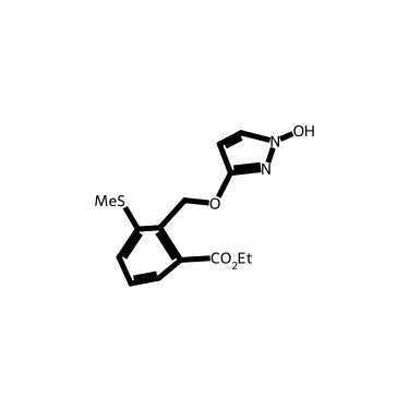 CCOC(=O)c1cccc(SC)c1COc1ccn(O)n1